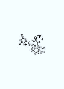 Fc1cc(F)cc(CNCC[C@]2(c3ccc(OC(F)(F)F)cc3)CCOC3(CCCC3)C2)c1